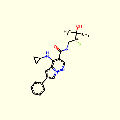 CC(C)(O)[C@H](F)CNC(=O)c1cnn2cc(-c3ccccc3)cc2c1NC1CC1